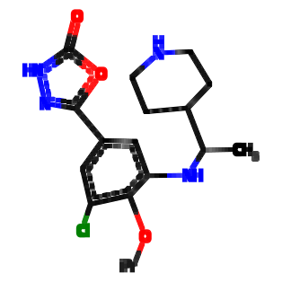 CC(C)Oc1c(Cl)cc(-c2n[nH]c(=O)o2)cc1NC(C)C1CCNCC1